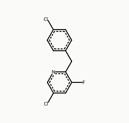 Fc1cc(Cl)cnc1Cc1ccc(Cl)cc1